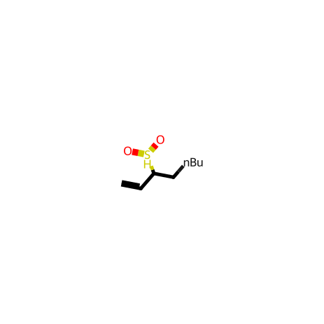 C=CC(CCCCC)[SH](=O)=O